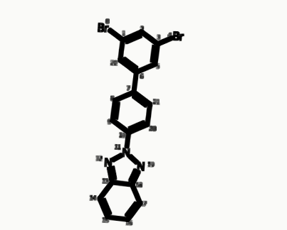 Brc1cc(Br)cc(-c2ccc(-n3nc4ccccc4n3)cc2)c1